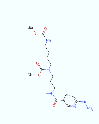 CN(CCCN(CCCCNC(=O)OC(C)(C)C)C(=O)OC(C)(C)C)C(=O)c1ccc(NN)nc1